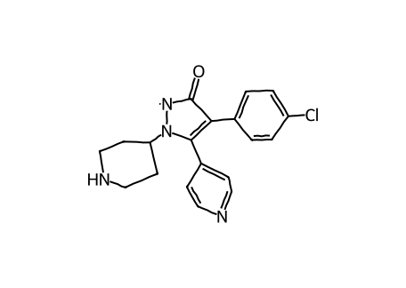 O=C1[N]N(C2CCNCC2)C(c2ccncc2)=C1c1ccc(Cl)cc1